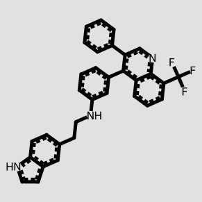 FC(F)(F)c1cccc2c(-c3cccc(NCCc4ccc5[nH]ccc5c4)c3)c(-c3ccccc3)cnc12